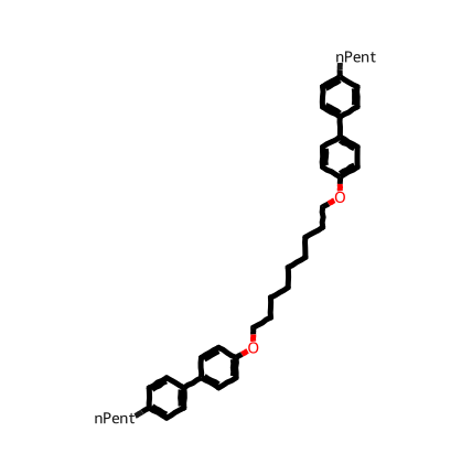 CCCCCc1ccc(-c2ccc(OCCCCCCCCCOc3ccc(-c4ccc(CCCCC)cc4)cc3)cc2)cc1